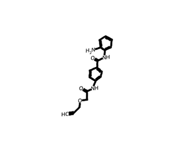 C#CCOCC(=O)Nc1ccc(C(=O)Nc2ccccc2N)cc1